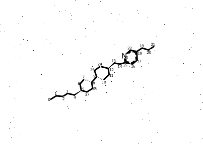 CCCCC[C@H]1CC[C@H]([C@H]2CC[C@H](CCc3ccc(CCC)cn3)CC2)CC1